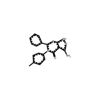 Cc1ccc(-n2c(-c3ccccc3)nc3[nH]nc(N)c3c2=O)cc1